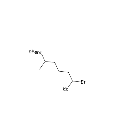 CCCCCC(C)CCCC(CC)CC